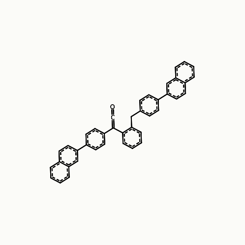 O=C=C(c1ccc(-c2ccc3ccccc3c2)cc1)c1ccccc1Cc1ccc(-c2ccc3ccccc3c2)cc1